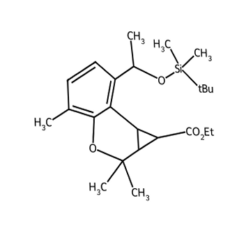 CCOC(=O)C1C2c3c(C(C)O[Si](C)(C)C(C)(C)C)ccc(C)c3OC(C)(C)C12